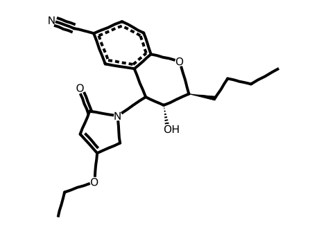 CCCC[C@@H]1Oc2ccc(C#N)cc2C(N2CC(OCC)=CC2=O)[C@H]1O